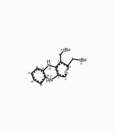 CC(C)(C)Cc1ccc2c(c1CC(C)(C)C)Nc1ccccc1N2